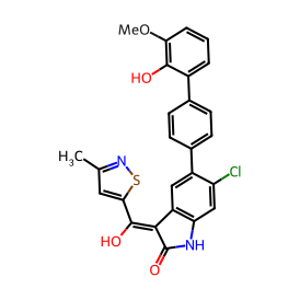 COc1cccc(-c2ccc(-c3cc4c(cc3Cl)NC(=O)C4=C(O)c3cc(C)ns3)cc2)c1O